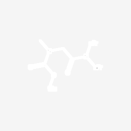 CCCN(CCC)C(=O)CN(C)C(=O)OC(C)(C)C